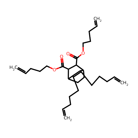 C=CCCCOC(=O)C1C2CCC(C(CCCC=C)=C2CCCC=C)C1C(=O)OCCCC=C